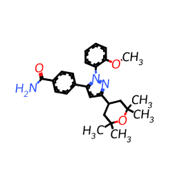 COc1ccccc1-n1nc(C2CC(C)(C)OC(C)(C)C2)cc1-c1ccc(C(N)=O)cc1